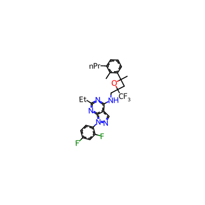 CCCc1cccc(C2(C)CC(CNc3nc(CC)nc4c3cnn4-c3ccc(F)cc3F)(C(F)(F)F)O2)c1C